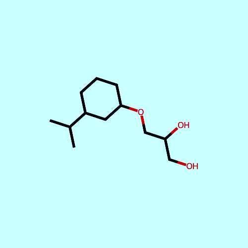 CC(C)C1CCCC(OCC(O)CO)C1